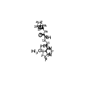 CC1CC(F)c2ncnc(NCCNC(=O)CC3=CC4CC(=C3)C4Cl)c21